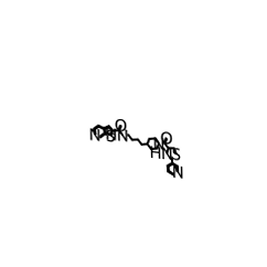 O=C(NCCCCC1CCN(C(=O)C2CSC(c3cccnc3)N2)CC1)c1cc2ccncc2s1